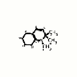 CN1C2=C(C=CC1(C)C)CCCC2